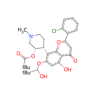 CN1CC[C@H](c2c(OC(O)C(C)(C)C)cc(O)c3c(=O)cc(-c4ccccc4Cl)oc23)[C@H](OC(=O)C(C)(C)C)C1